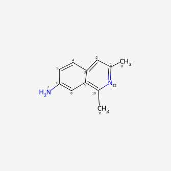 Cc1cc2ccc(N)cc2c(C)n1